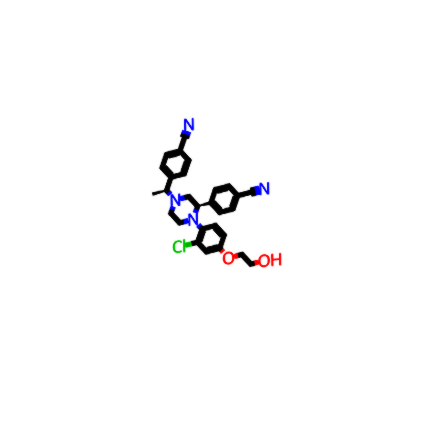 C[C@@H](c1ccc(C#N)cc1)N1CCN(c2ccc(OCCO)cc2Cl)[C@H](c2ccc(C#N)cc2)C1